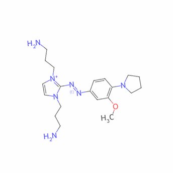 COc1cc(/N=N/c2n(CCCN)cc[n+]2CCCN)ccc1N1CCCC1